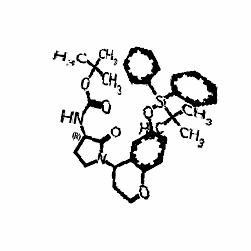 CC(C)(C)OC(=O)N[C@@H]1CCN(C2CCOc3ccc(O[Si](c4ccccc4)(c4ccccc4)C(C)(C)C)cc32)C1=O